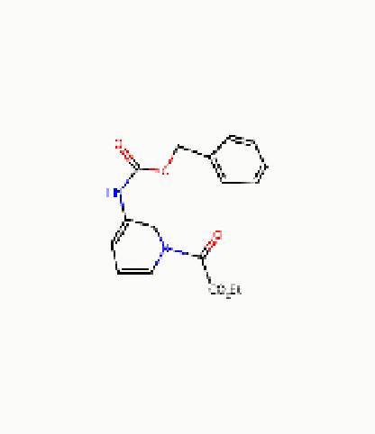 CCOC(=O)C(=O)N1C=CC=C(NC(=O)OCc2ccccc2)C1